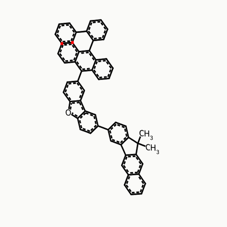 CC1(C)c2ccc(-c3ccc4oc5ccc(-c6c7ccccc7c(-c7ccccc7-c7ccccc7)c7ccccc67)cc5c4c3)cc2-c2cc3ccccc3cc21